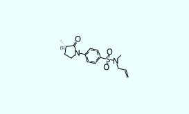 C=CCN(C)S(=O)(=O)c1ccc(N2CC[C@H](C)C2=O)cc1